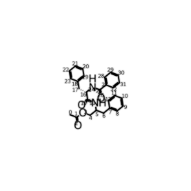 CC(=O)OCC(Cc1ccccc1)NC(=O)[C@H](Cc1ccccc1)NC(=O)c1ccccc1